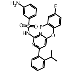 CC(C)c1ccccc1-c1cc(Oc2ccc(F)cc2F)nc(NS(=O)(=O)c2cccc(N)c2)n1